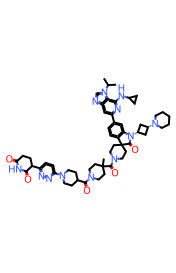 CC(C)n1cnc2cc(-c3ccc4c(c3)N([C@H]3C[C@@H](N5CCCCC5)C3)C(=O)C43CCN(C(=O)C4(C)CCN(C(=O)C5CCN(c6ccc(C7CCC(=O)NC7=O)nn6)CC5)CC4)CC3)nc(NC3CC3)c21